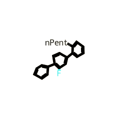 CCCCCc1ccccc1-c1ccc(-c2ccccc2)c(F)c1